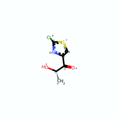 C[C@H](O)C(=O)c1csc(Cl)n1